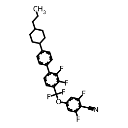 CCCC1CCC(c2ccc(-c3ccc(C(F)(F)Oc4cc(F)c(C#N)c(F)c4)c(F)c3F)cc2)CC1